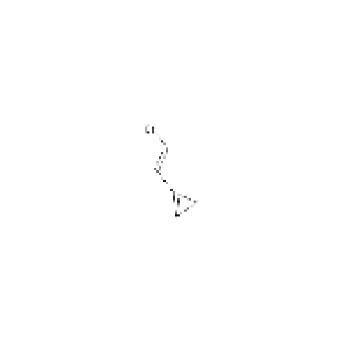 CCC=CC1=CC1